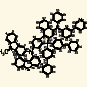 Cn1c2ccccc2c2cc(N(c3ccc4c(c3)C(c3ccc(-c5ccccc5)cc3)(c3ccc(-c5ccccc5)cc3)c3cc(N(c5ccccc5)c5cccc(-c6cccnc6)c5)c5ccccc5c3-4)c3cccc4sc5ccccc5c34)ccc21